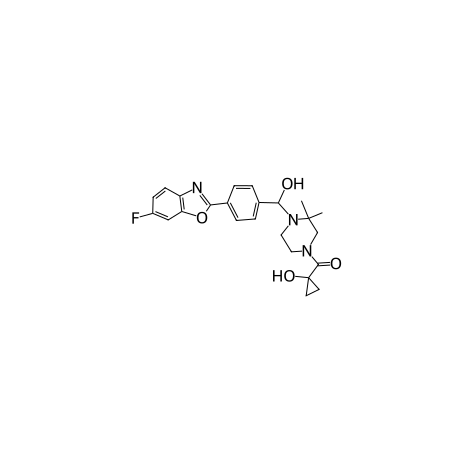 CC1(C)CN(C(=O)C2(O)CC2)CCN1C(O)c1ccc(-c2nc3ccc(F)cc3o2)cc1